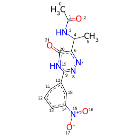 CC(=O)NC(C)c1nnc(-c2cccc([N+](=O)[O-])c2)[nH]c1=O